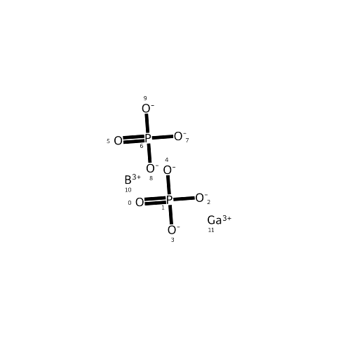 O=P([O-])([O-])[O-].O=P([O-])([O-])[O-].[B+3].[Ga+3]